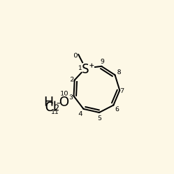 C[s+]1cccccccc1.O.[Cl-]